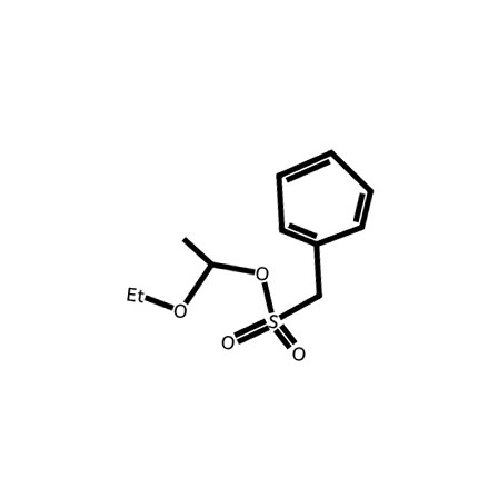 CCOC(C)OS(=O)(=O)Cc1ccccc1